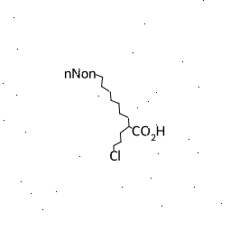 CCCCCCCCCCCCCCCCC(CCCCl)C(=O)O